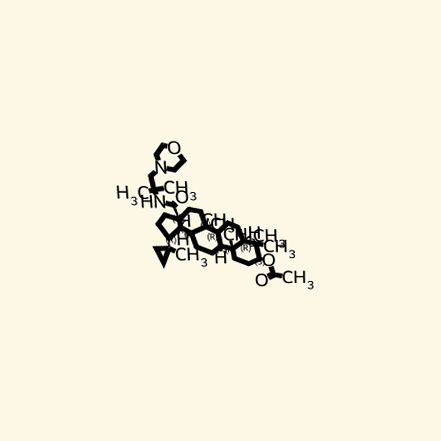 CC(=O)O[C@H]1CC[C@]2(C)[C@H]3CC[C@@H]4[C@H]5[C@H](C6(C)CC6)CC[C@]5(C(=O)NC(C)(C)CN5CCOCC5)CC[C@@]4(C)[C@]3(C)CC[C@H]2C1(C)C